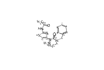 CCN(Cc1ccccc1)C(=O)N(N)c1csc(NC(C)=O)n1